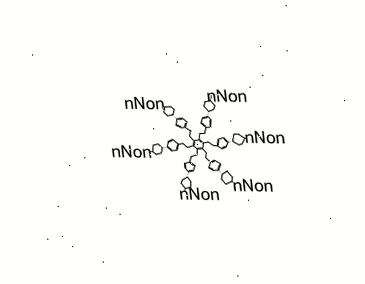 CCCCCCCCC[C@H]1CC[C@H](c2ccc(CCc3c(CCc4ccc([C@H]5CC[C@H](CCCCCCCCC)CC5)cc4)c(CCc4ccc([C@H]5CC[C@H](CCCCCCCCC)CC5)cc4)c(CCc4ccc([C@H]5CC[C@H](CCCCCCCCC)CC5)cc4)c(CCc4ccc([C@H]5CC[C@H](CCCCCCCCC)CC5)cc4)c3CCc3ccc([C@H]4CC[C@H](CCCCCCCCC)CC4)cc3)cc2)CC1